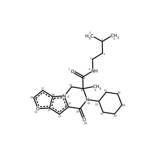 CC(C)CCNC(=O)C1(C)Cn2c(cc3occc32)C(=O)N1C1CCCCC1